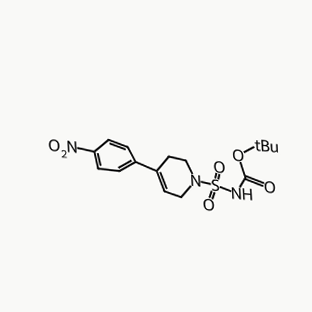 CC(C)(C)OC(=O)NS(=O)(=O)N1CC=C(c2ccc([N+](=O)[O-])cc2)CC1